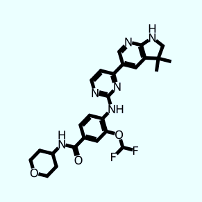 CC1(C)CNc2ncc(-c3ccnc(Nc4ccc(C(=O)NC5CCOCC5)cc4OC(F)F)n3)cc21